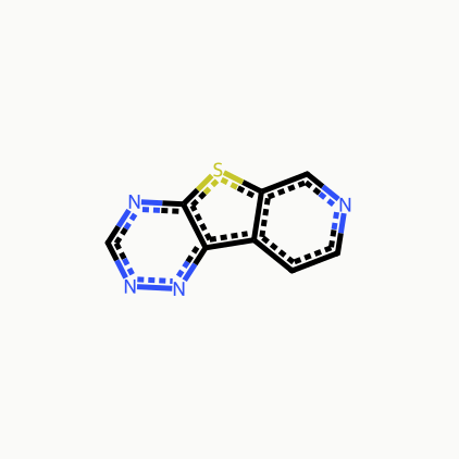 c1cc2c(cn1)sc1ncnnc12